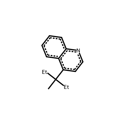 CCC(C)(CC)c1ccnc2ccccc12